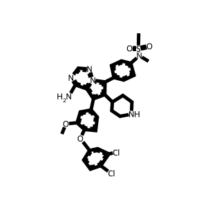 COc1cc(-c2c(C3CCNCC3)c(-c3ccc(N(C)S(C)(=O)=O)cc3)n3ncnc(N)c23)ccc1Oc1ccc(Cl)c(Cl)c1